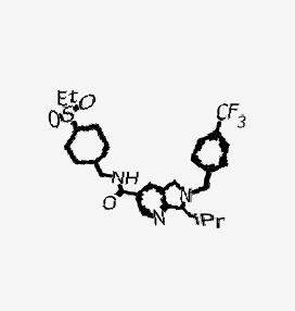 CCS(=O)(=O)C1CCC(CNC(=O)c2cnc3c(c2)CN(Cc2ccc(C(F)(F)F)cc2)C3C(C)C)CC1